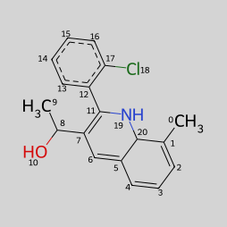 CC1=CC=CC2=CC(C(C)O)=C(c3ccccc3Cl)NC12